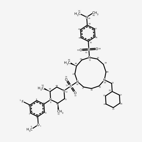 COc1cc(F)cc(N2[C@H](C)CN(S(=O)(=O)N3CCCN(CC4CCCCC4)CCCN(S(=O)(=O)c4ccc(N(C)C)cc4)C[C@H](C)C3)C[C@@H]2C)c1